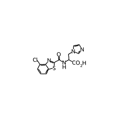 O=C(NC(Cn1ccnc1)C(=O)O)c1nc2c(Cl)cccc2s1